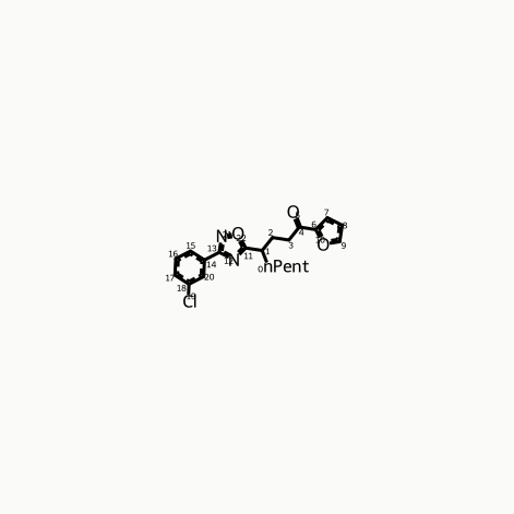 CCCCCC(CCC(=O)c1ccco1)c1nc(-c2cccc(Cl)c2)no1